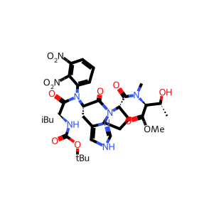 CC[C@H](C)[C@H](NC(=O)OC(C)(C)C)C(=O)N(c1cccc([N+](=O)[O-])c1[N+](=O)[O-])[C@@H](Cc1c[nH]cn1)C(=O)N1CCC[C@H]1C(=O)N(C)[C@H](C(=O)OC)[C@@H](C)O